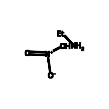 O=[N+]([O-])O.[CH2]CN